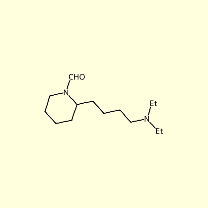 CCN(CC)CCCCC1CCCCN1C=O